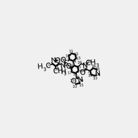 Cc1noc(NS(=O)(=O)c2ccccc2-c2ccc(-c3ncco3)cc2CN(C)C(=O)c2ccncc2)c1C